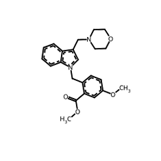 COC(=O)c1cc(OC)ccc1Cn1cc(CN2CCOCC2)c2ccccc21